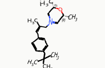 CC(=Cc1ccc(C(C)(C)C)cc1)CN1C[C@@H](C)O[C@@H](C)C1